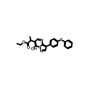 CCOC(=O)C(C)c1cnc2c(-c3ccc(Sc4ccccc4)cc3)cnn2c1O